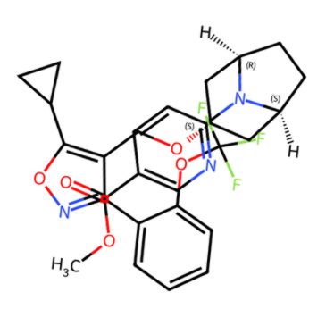 COC(=O)c1ccc(N2[C@@H]3CC[C@H]2C[C@H](OCc2c(-c4ccccc4OC(F)(F)F)noc2C2CC2)C3)nc1